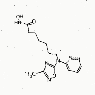 Cc1noc(N(CCCCCCC(=O)NO)c2ccccn2)n1